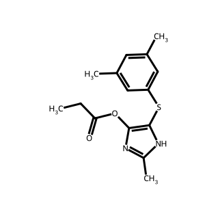 CCC(=O)Oc1nc(C)[nH]c1Sc1cc(C)cc(C)c1